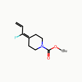 C=CC(F)=C1CCN(C(=O)OC(C)(C)C)CC1